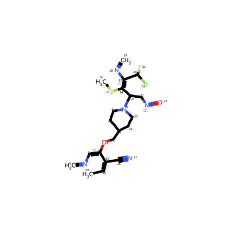 C=N/C=C(OCC1CCN(C(CN=O)/C(SC)=C(/N=C)C(F)F)CC1)\C(C#N)=C/C